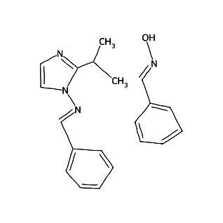 CC(C)c1nccn1N=Cc1ccccc1.ON=Cc1ccccc1